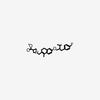 COC(=O)C1CN(CC2=C(C)c3ccc(OCC(Cc4ccc(F)cc4)C(C)C)cc3CC2)C1